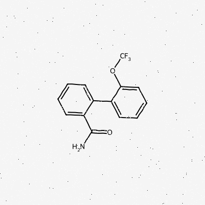 NC(=O)c1ccccc1-c1ccccc1OC(F)(F)F